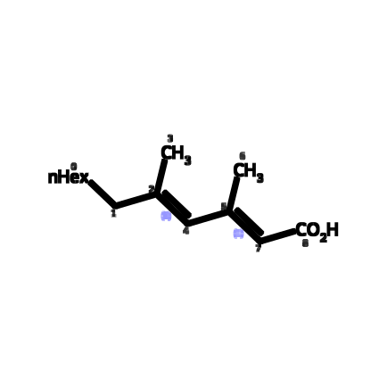 CCCCCCC/C(C)=C/C(C)=C/C(=O)O